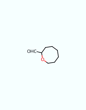 O=CC1CCCCCCO1